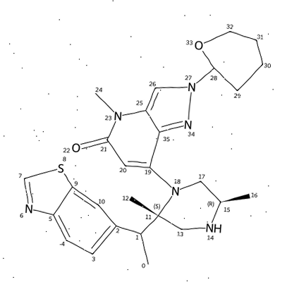 CC(c1ccc2ncsc2c1)[C@@]1(C)CN[C@H](C)CN1c1cc(=O)n(C)c2cn(C3CCCCO3)nc12